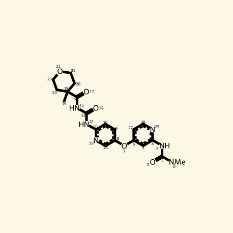 CNC(=O)Nc1cc(Oc2ccc(NC(=O)NC(=O)C3(C)CCOCC3)nc2)ccn1